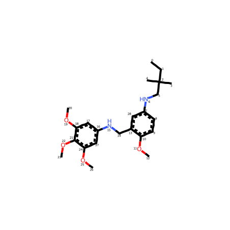 CCC(C)(C)CNc1ccc(OC)c(CNc2cc(OC)c(OC)c(OC)c2)c1